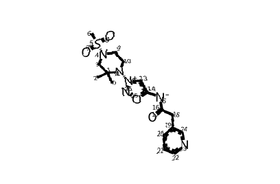 CC1(C)CN(S(C)(=O)=O)CCN1[n+]1cc([N-]C(=O)Cc2cccnc2)on1